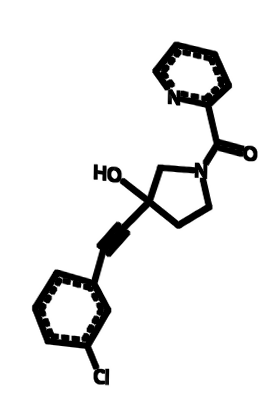 O=C(c1ccccn1)N1CCC(O)(C#Cc2cccc(Cl)c2)C1